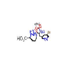 CC(C)(C)OC(=O)NC(Cc1cncc(Br)c1)C(=O)N1CCC[C@@H](C(=O)O)N1